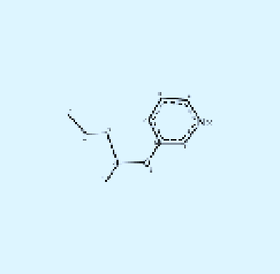 CCCC(C)Oc1cccnc1